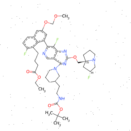 CCOC(=O)CCCc1c(F)ccc2cc(OCOC)cc(-c3ncc4c(N5CCCC(CCNC(=O)OC(C)(C)C)C5)nc(OC[C@@]56CCCN5C[C@H](F)C6)nc4c3F)c12